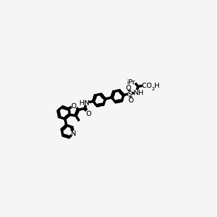 Cc1c(C(=O)Nc2ccc(-c3ccc(S(=O)(=O)NC(C(=O)O)C(C)C)cc3)cc2)oc2cccc(-c3cccnc3)c12